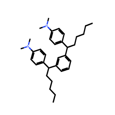 CCCCCC(c1ccc(N(C)C)cc1)c1cccc(C(CCCCC)c2ccc(N(C)C)cc2)c1